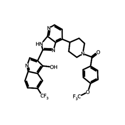 O=C(c1ccc(OC(F)(F)F)cc1)N1CCC(c2ccnc3[nH]c(-c4cnc5ccc(C(F)(F)F)cc5c4O)nc23)CC1